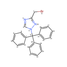 BrCc1ncn(C(c2ccccc2)(c2ccccc2)c2ccccc2)n1